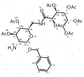 CC(=O)OC[C@@H](OC(C)=O)[C@@H](OC(C)=O)[C@H](OC(C)=O)[C@@H](OC(C)=O)C(=O)NC[C@H]1O[C@H](OCc2ccccc2)[C@H](N)[C@@H](OC(C)=O)[C@@H]1OC(C)=O